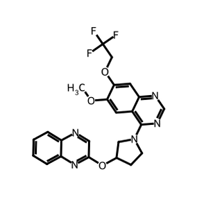 COc1cc2c(N3CCC(Oc4cnc5ccccc5n4)C3)ncnc2cc1OCC(F)(F)F